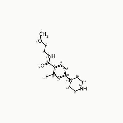 COCCNC(=O)c1ccc(N2CCNCC2)cc1F